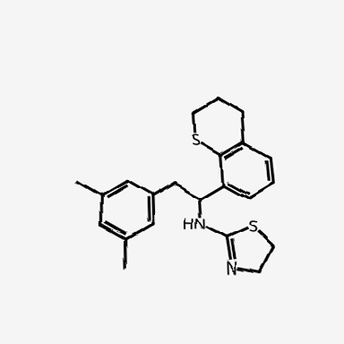 Cc1cc(C)cc(CC(NC2=NCCS2)c2cccc3c2SCCC3)c1